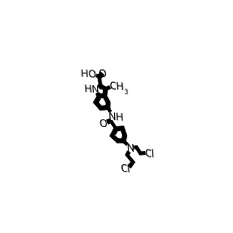 Cc1c(C(=O)O)[nH]c2ccc(NC(=O)c3ccc(N(CCCl)CCCl)cc3)cc12